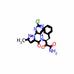 Cc1cc(C(=O)N[C@@H](Cc2ccccc2)C(=O)C(N)=O)n(-c2ccnc(Cl)n2)n1